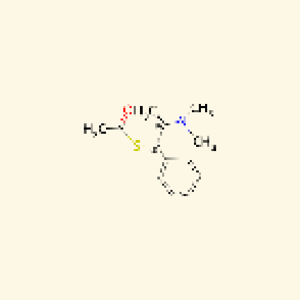 CC(=O)S[C@@H](c1ccccc1)[C@@H](C)N(C)C